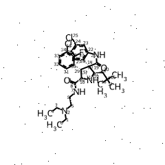 CCN(CC)CCNC(=O)[C@@H]1N[C@H](CC(C)(C)C)[C@]2(C(=O)Nc3cc(Cl)ccc32)[C@H]1c1cccc(Cl)c1F